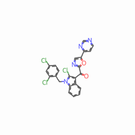 O=C(c1ncc(-c2ccncn2)o1)c1c(Cl)n(Cc2ccc(Cl)cc2Cl)c2ccccc12